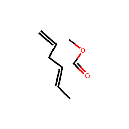 C=CCC=CC.COC=O